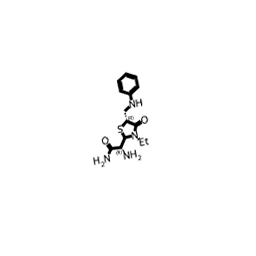 CCN1C(=O)[C@@H](CNc2ccccc2)SC1[C@H](N)C(N)=O